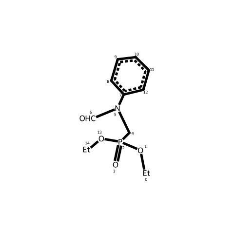 CCOP(=O)(CN(C=O)c1ccccc1)OCC